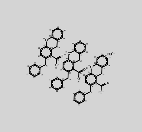 O=C([O-])c1c(Cc2ccccc2)ccc2c1Cc1ccccc1O2.O=C([O-])c1c(Cc2ccccc2)ccc2c1Cc1ccccc1O2.O=C([O-])c1c(Cc2ccccc2)ccc2c1Cc1ccccc1O2.[Nd+3]